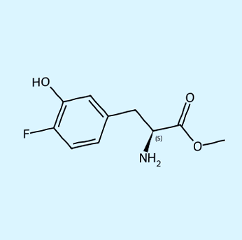 COC(=O)[C@@H](N)Cc1ccc(F)c(O)c1